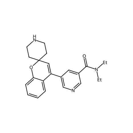 CCN(CC)C(=O)c1cncc(C2=CC3(CCNCC3)Oc3ccccc32)c1